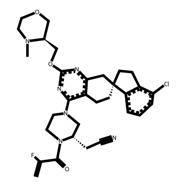 C=C(F)C(=O)N1CCN(c2nc(OC[C@@H]3COCCN3C)nc3c2CC[C@@]2(CCc4c(Cl)cccc42)C3)C[C@@H]1CC#N